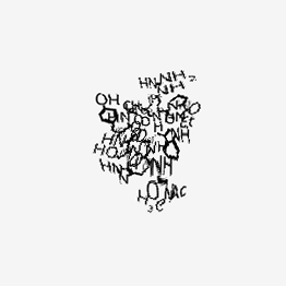 CCNC(=O)[C@@H]1CCCN1C(=O)[C@H](CCCNC(=N)N)NC(=O)[C@H](CC(C)C)NC(=O)[C@@H](C)NC(=O)[C@H](Cc1ccc(O)cc1)NC(=O)[C@H](CO)NC(=O)[C@H](Cc1c[nH]c2ccccc12)NC(=O)[C@H](Cc1c[nH]cn1)NC(=O)CN(C)C(C)=O